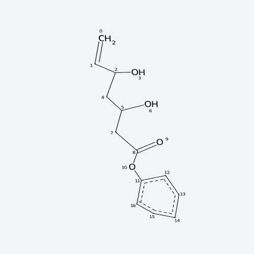 C=CC(O)CC(O)CC(=O)Oc1ccccc1